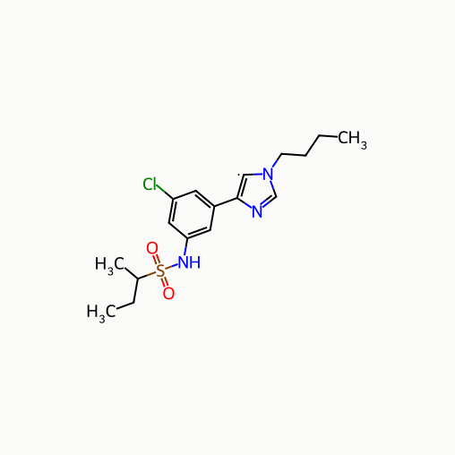 CCCCn1[c]c(-c2cc(Cl)cc(NS(=O)(=O)C(C)CC)c2)nc1